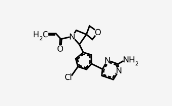 C=CC(=O)N1CC2(COC2)C1c1cc(Cl)cc(-c2ccnc(N)n2)c1